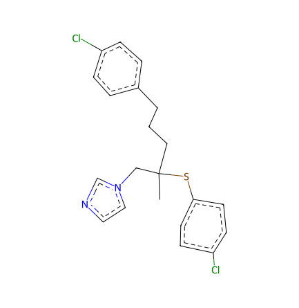 CC(CCCc1ccc(Cl)cc1)(Cn1ccnc1)Sc1ccc(Cl)cc1